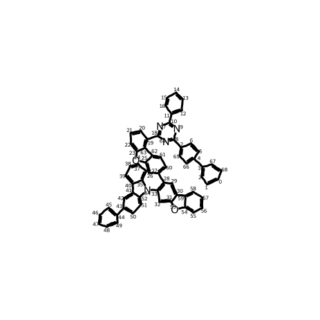 c1ccc(-c2ccc(-c3nc(-c4ccccc4)nc(-c4cccc5oc6cc(-c7cc8c(cc7-n7c9ccccc9c9cc(-c%10ccccc%10)ccc97)oc7ccccc78)ccc6c45)n3)cc2)cc1